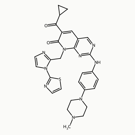 CN1CCN(c2ccc(Nc3ncc4cc(C(=O)C5CC5)c(=O)n(Cc5nccn5-c5nccs5)c4n3)cc2)CC1